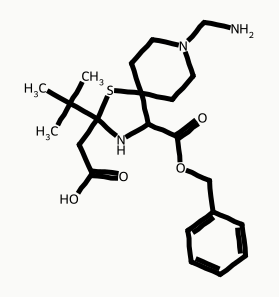 CC(C)(C)C1(CC(=O)O)NC(C(=O)OCc2ccccc2)C2(CCN(CN)CC2)S1